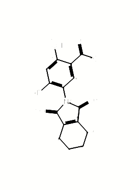 CC(=O)c1cc(N2C(=O)C3=C(CCCC3)C2=O)c(F)cc1O